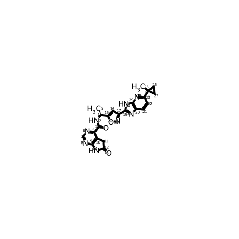 C[C@@H](NC(=O)c1ncnc2c1CC(=O)N2)c1cc(-c2nc3ccc(C4(C)CC4)nc3[nH]2)no1